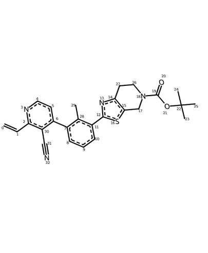 C=Cc1nccc(-c2cccc(-c3nc4c(s3)CN(C(=O)OC(C)(C)C)CC4)c2C)c1C#N